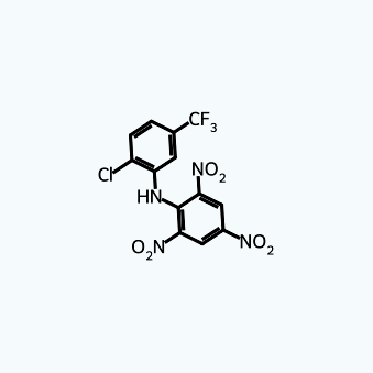 O=[N+]([O-])c1cc([N+](=O)[O-])c(Nc2cc(C(F)(F)F)ccc2Cl)c([N+](=O)[O-])c1